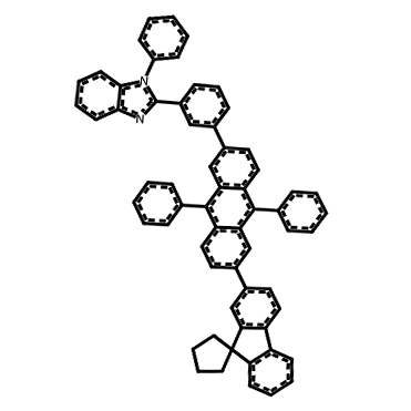 c1ccc(-c2c3ccc(-c4ccc5c(c4)C4(CCCC4)c4ccccc4-5)cc3c(-c3ccccc3)c3ccc(-c4cccc(-c5nc6ccccc6n5-c5ccccc5)c4)cc23)cc1